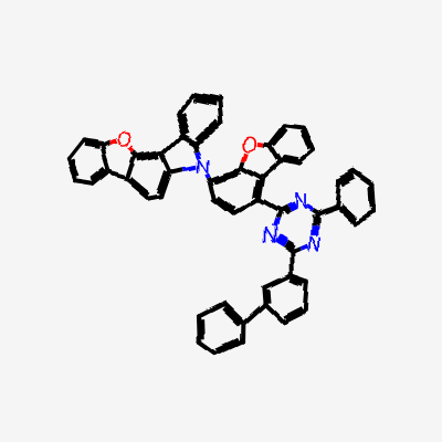 c1ccc(-c2cccc(-c3nc(-c4ccccc4)nc(-c4ccc(-n5c6ccccc6c6c7oc8ccccc8c7ccc65)c5oc6ccccc6c45)n3)c2)cc1